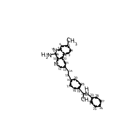 Cc1ccc2c(c1)nc(N)c1ncc(CCc3ccc(C(C)Nc4ccccc4)cc3)cc12